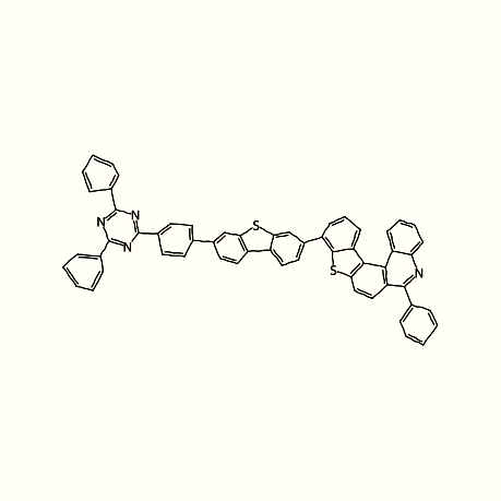 c1ccc(-c2nc(-c3ccccc3)nc(-c3ccc(-c4ccc5c(c4)sc4cc(-c6cccc7c6sc6ccc8c(-c9ccccc9)nc9ccccc9c8c67)ccc45)cc3)n2)cc1